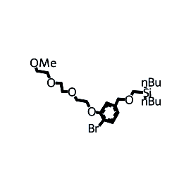 CCCC[Si](C)(CCCC)COCc1ccc(Br)c(OCCOCCOCCOC)c1